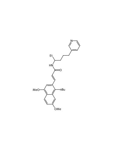 CCCCc1c(/C=C/C(=O)NC(CC)CCCc2cccnc2)cc(OC)c2ccc(OC)cc12